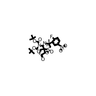 CC(C)(C)OC(=O)N(C(=O)OC(C)(C)C)C1=N[C@](C)(c2cc([N+](=O)[O-])ccc2F)CS(=O)(=O)C1(CF)CC=O